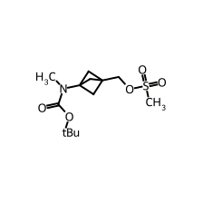 CN(C(=O)OC(C)(C)C)C12CC(COS(C)(=O)=O)(C1)C2